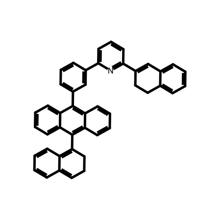 C1=C(c2cccc(-c3cccc(-c4c5ccccc5c(C5=c6ccccc6=CCC5)c5ccccc45)c3)n2)CCc2ccccc21